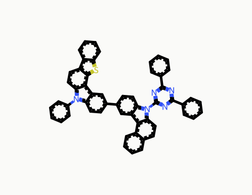 c1ccc(-c2nc(-c3ccccc3)nc(-n3c4ccc(-c5ccc6c(c5)c5c7sc8ccccc8c7ccc5n6-c5ccccc5)cc4c4c5ccccc5ccc43)n2)cc1